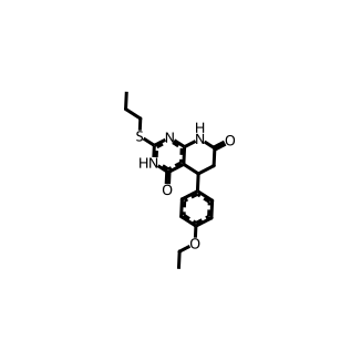 CCCSc1nc2c(c(=O)[nH]1)C(c1ccc(OCC)cc1)CC(=O)N2